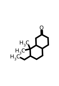 CCC1CCC2CCC(=O)CC2C1(C)C